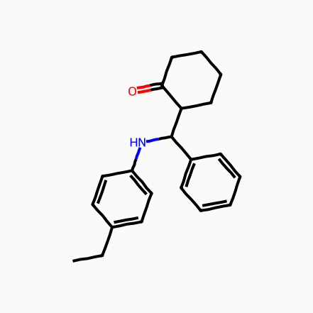 CCc1ccc(NC(c2ccccc2)C2CCCCC2=O)cc1